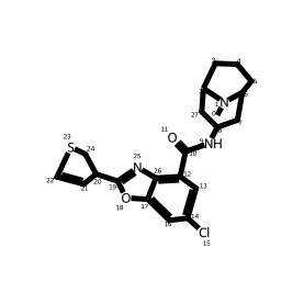 CN1C2CCCC1CC(NC(=O)c1cc(Cl)cc3oc(C4C=CSC4)nc13)C2